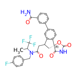 CC(N(Cc1ccc(F)cc1)C(=O)CC1C[C@@]2(OC(=O)NC2=O)c2ccc(-c3cccc(C(N)=O)c3)cc21)C(F)(F)F